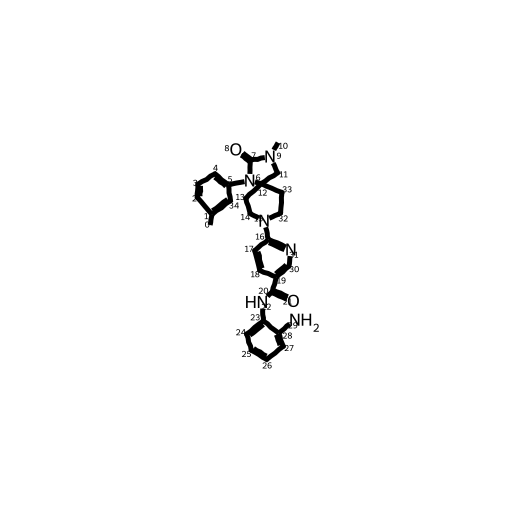 Cc1cccc(N2C(=O)N(C)CC23CCN(c2ccc(C(=O)Nc4ccccc4N)cn2)CC3)c1